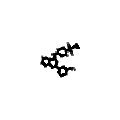 Nc1cccc(-c2cc(NC3CCN(S(=O)(=O)C4CC4)CC3)c3cnccc3c2)c1